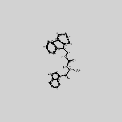 C[C@@H](c1c[nH]c2ccccc12)[C@@H](NC(=O)OCC1c2ccccc2-c2ccccc21)C(=O)O